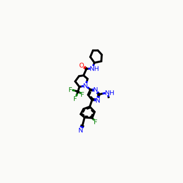 CNc1nc(-c2ccc(C#N)c(F)c2)cc(N2CC(C(=O)NC3CCCCC3)CCC2C(F)(F)F)n1